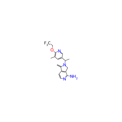 C=C1c2ccnc(N)c2CN1C(C)c1cnc(OCC(F)(F)F)c(C)c1